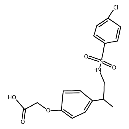 CC(CNS(=O)(=O)c1ccc(Cl)cc1)c1ccc(OCC(=O)O)cc1